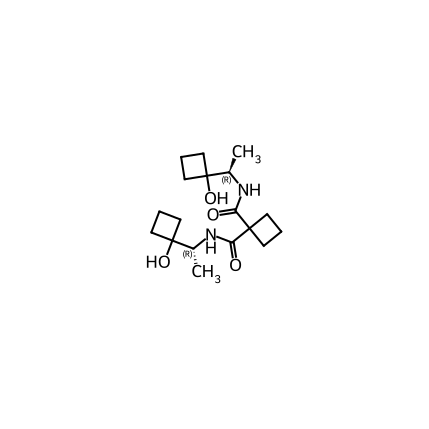 C[C@@H](NC(=O)C1(C(=O)N[C@H](C)C2(O)CCC2)CCC1)C1(O)CCC1